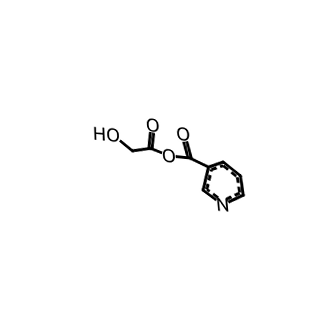 O=C(CO)OC(=O)c1cccnc1